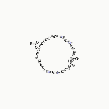 CCC(=O)OC1CCCCCCCC/C=C\C/C=C\CCCOC(=O)NC(=O)OCCC/C=C\C/C=C\CCCCCCCC1